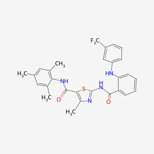 Cc1cc(C)c(NC(=O)c2sc(NC(=O)c3ccccc3Nc3cccc(C(F)(F)F)c3)nc2C)c(C)c1